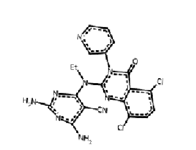 CCN(c1nc(N)nc(N)c1C#N)c1nc2c(Cl)ccc(Cl)c2c(=O)n1-c1cccnc1